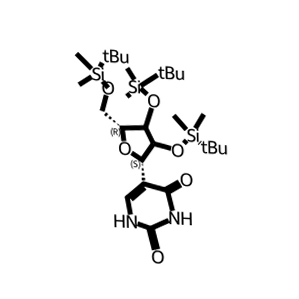 CC(C)(C)[Si](C)(C)OC[C@H]1O[C@@H](c2c[nH]c(=O)[nH]c2=O)C(O[Si](C)(C)C(C)(C)C)C1O[Si](C)(C)C(C)(C)C